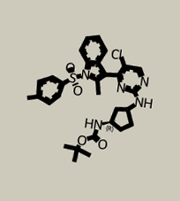 Cc1ccc(S(=O)(=O)n2c(C)c(-c3nc(NC4CC[C@@H](NC(=O)OC(C)(C)C)C4)ncc3Cl)c3ccccc32)cc1